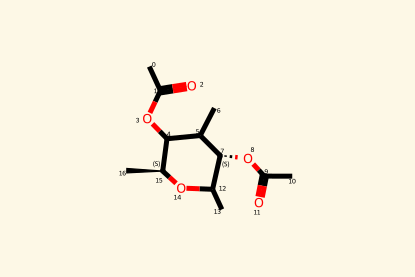 CC(=O)OC1C(C)[C@H](OC(C)=O)C(C)O[C@H]1C